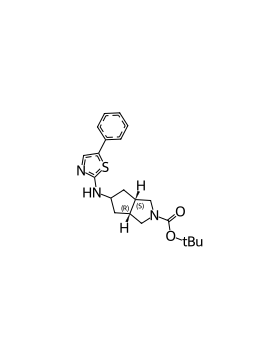 CC(C)(C)OC(=O)N1C[C@H]2CC(Nc3ncc(-c4ccccc4)s3)C[C@H]2C1